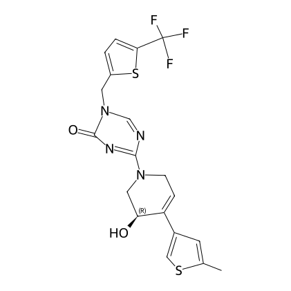 Cc1cc(C2=CCN(c3ncn(Cc4ccc(C(F)(F)F)s4)c(=O)n3)C[C@@H]2O)cs1